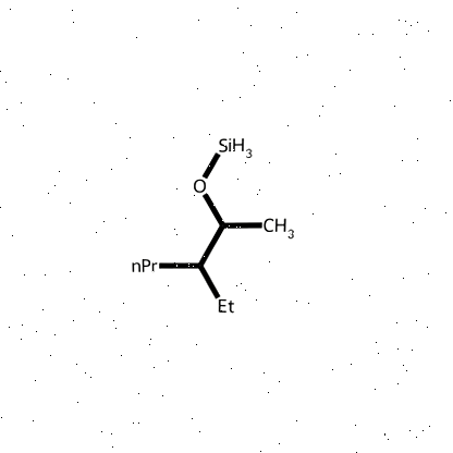 CCCC(CC)C(C)O[SiH3]